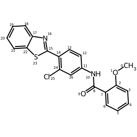 COc1ccccc1C(=O)Nc1ccc(-c2nc3ccccc3s2)c(Cl)c1